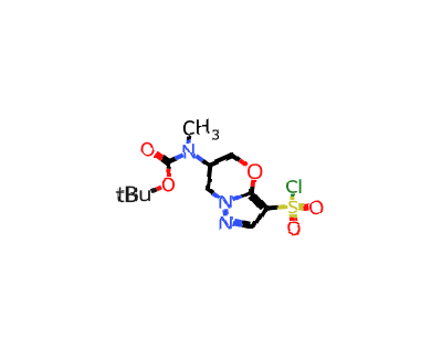 CN(C(=O)OC(C)(C)C)C1COc2c(S(=O)(=O)Cl)cnn2C1